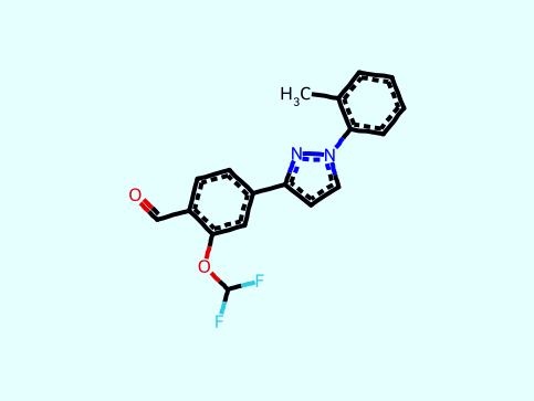 Cc1ccccc1-n1ccc(-c2ccc(C=O)c(OC(F)F)c2)n1